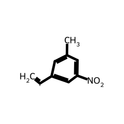 C=[C]c1cc(C)cc([N+](=O)[O-])c1